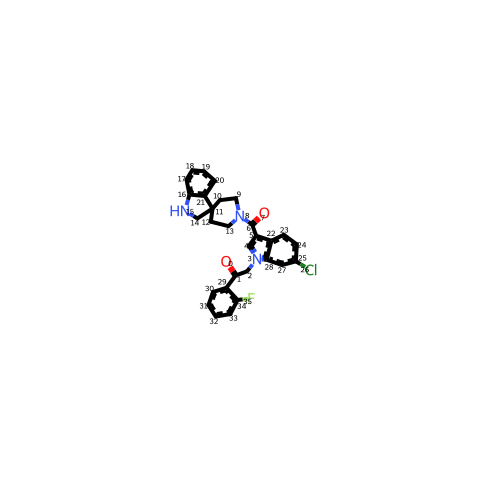 O=C(Cn1cc(C(=O)N2CCC3(CC2)CNc2ccccc23)c2ccc(Cl)cc21)c1ccccc1F